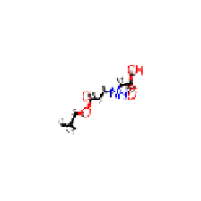 CC(C)COC(=O)CCNCC(=O)O